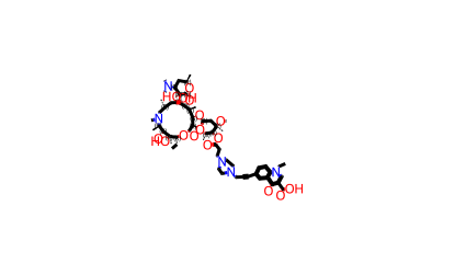 CC[C@H]1OC(=O)[C@H](C)[C@@H](O[C@H]2C[C@@](C)(OC)[C@@H](OC(=O)CCN3CCN(CC#Cc4ccc5c(c4)c(=O)c(C(=O)O)cn5CC)CC3)[C@H](C)O2)[C@H](C)[C@@H](O[C@@H]2O[C@H](C)C[C@H](N(C)C)[C@H]2O)[C@](C)(O)C[C@@H](C)CN(C)[C@H](C)[C@@H](OC)[C@]1(C)O